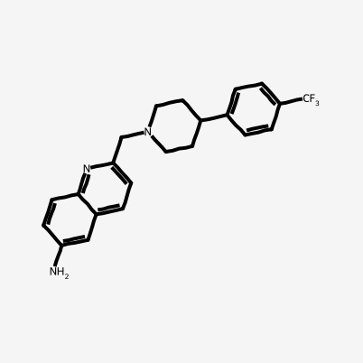 Nc1ccc2nc(CN3CCC(c4ccc(C(F)(F)F)cc4)CC3)ccc2c1